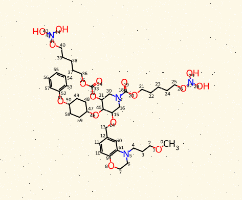 COCCCN1CCOc2ccc(COC3CN(C(=O)OCCCCCON(O)O)CC(OC(=O)OCCCCCON(O)O)C3OC3CCC(Oc4ccccc4)CC3)cc21